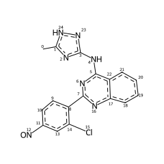 Cc1nc(Nc2nc(-c3ccc(N=O)cc3Cl)nc3ccccc23)n[nH]1